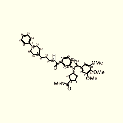 CNC(=O)C1CCC(n2c(-c3cc(OC)c(OC)c(OC)c3)nc3ccc(C(=O)NCCCN4CCN(c5ccccc5)CC4)cc32)C1